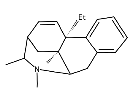 CC[C@@]12C=CC3C[C@]1(C)C(Cc1ccccc12)N(C)C3C